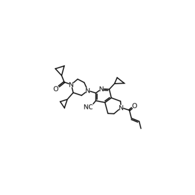 CC=CC(=O)N1CCc2c(C#N)c(N3CCN(C(=O)C4CC4)C(C4CC4)C3)nc(C3CC3)c2C1